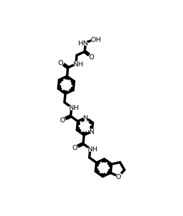 O=C(CNC(=O)c1ccc(CNC(=O)c2cc(C(=O)NCc3ccc4c(c3)CCO4)ncn2)cc1)NO